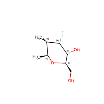 C[C@H]1[C@H](F)[C@H](O)[C@@H](CO)O[C@H]1C